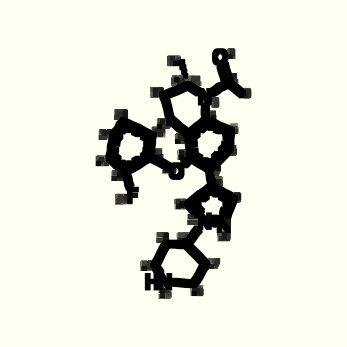 CC(=O)N1c2ccc(-c3cnn(C4CCNCC4)c3)c(Oc3ccccc3F)c2CC[C@@H]1C